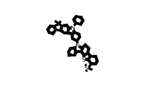 CC1(C)c2ccccc2-c2cc3c4cc(-n5c6ccccc6c6c7sc8c([Si](C)(C)C)cccc8c7ccc65)ccc4n(-c4ccccc4)c3cc21